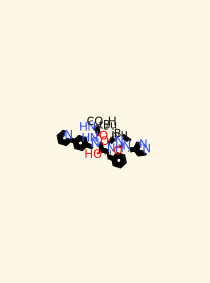 CC[C@H](C)[C@@H](C(=O)N[C@@H](Cc1ccccc1)[C@@H](O)CN(Cc1ccc(-c2ccccn2)cc1)NC(=O)[C@@H](NC(=O)O)C(C)(C)C)N1CCN(Cc2ccnnc2)C1=O